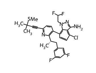 CSC(C)(C)C#Cc1ccc(-c2ccc(Cl)c3c(N)nn(CC(F)F)c23)c([C@@H](C)Cc2cc(F)cc(F)c2)n1